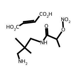 CC(O[N+](=O)[O-])C(=O)NCC(C)(C)CN.O=C(O)C=CC(=O)O